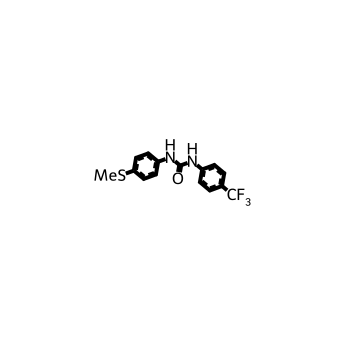 CSc1ccc(NC(=O)Nc2ccc(C(F)(F)F)cc2)cc1